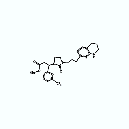 CC(C)(C)OC(=O)CC(c1cccc(C(F)(F)F)c1)N1CCN(CCCc2ccc3c(n2)NCCC3)C1=O